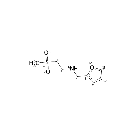 CS(=O)(=O)CCNCc1cc[c]o1